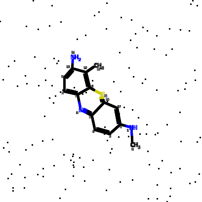 CNc1ccc2nc3ccc(N)c(C)c3[s+]c2c1